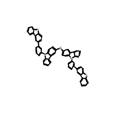 c1cc(-c2ccc3sc4ccccc4c3c2)cc(-n2c3ccccc3c3cc(Sc4ccc5c(c4)c4ccccc4n5-c4cccc(-c5ccc6sc7ccccc7c6c5)c4)ccc32)c1